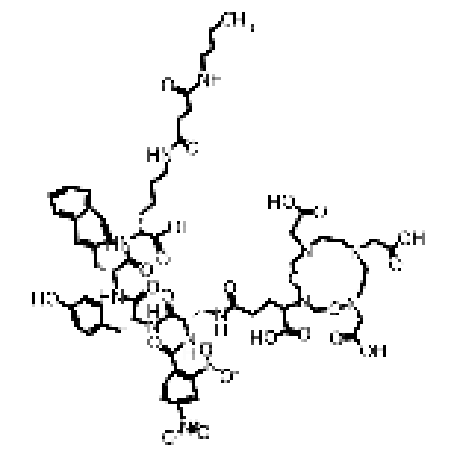 CCCCNC(=O)CCC(=O)NCCCC[C@@H](NC(=O)[C@@H](Cc1ccc2ccccc2c1)NC(=O)[C@@H](Cc1ccc(O)cc1)NC(=O)[C@H](CNC(=O)CCC(C(=O)O)N1CCN(CC(=O)O)CCN(CC(=O)O)CCN(CC(=O)O)CC1)NC(=O)c1ccc([N+](=O)[O-])cc1[N+](=O)[O-])C(=O)O